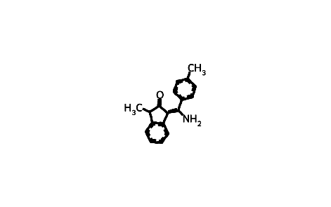 Cc1ccc(C(N)=C2C(=O)C(C)c3ccccc32)cc1